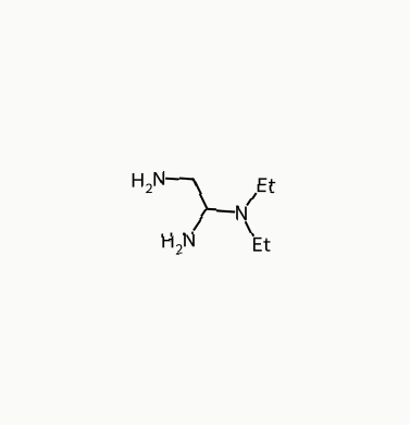 CCN(CC)C(N)CN